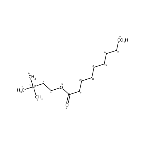 C[N+](C)(C)CCOC(=O)CCCCCCCC(=O)O